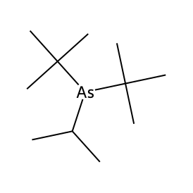 CC(C)[As](C(C)(C)C)C(C)(C)C